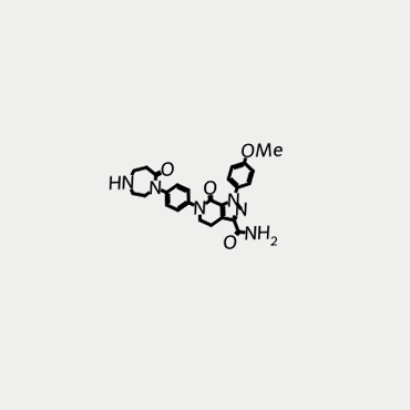 COc1ccc(-n2nc(C(N)=O)c3c2C(=O)N(c2ccc(N4CCNCCC4=O)cc2)CC3)cc1